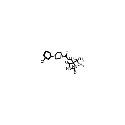 CC(C)(C)C1(CCC(=O)N2CCN(c3cccc(Cl)c3)CC2)NC(=O)NC1=O